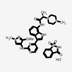 COc1nn(C)cc1Nc1nccc(-c2c[nH]c3c(NC(=O)[C@@H](C)N4CCN(C)CC4)cccc23)n1.Cl.O=C1NS(=O)(=O)c2ccccc21